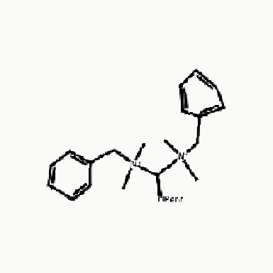 CCCCCC([N+](C)(C)Cc1ccccc1)[N+](C)(C)Cc1ccccc1